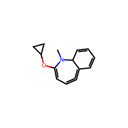 CN1C(OC2CC2)=CC=C=C2C=CC=CC21